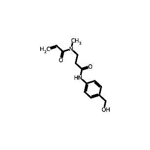 C=CC(=O)N(C)CCC(=O)Nc1ccc(CO)cc1